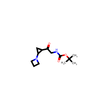 CC(C)(C)OC(=O)NCC(=O)C1CC1N1CCC1